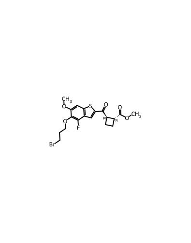 COC(=O)[C@@H]1CC[C@H]1C(=O)c1cc2c(F)c(OCCCBr)c(OC)cc2s1